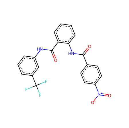 O=C(Nc1ccccc1C(=O)Nc1cccc(C(F)(F)F)c1)c1ccc([N+](=O)[O-])cc1